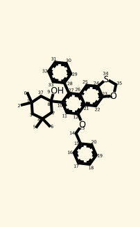 CC1(C)CC(C)(C)CC(O)(c2cc(OCc3ccccc3)c3cc4c(cc3c2-c2ccccc2)SCO4)C1